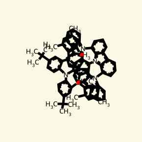 Cc1cc(C)c(B2c3cc(C(C)(C)C)ccc3N3c4ccc(C(C)(C)C)cc4B(c4c(C)cc(C)cc4C)c4cc(-n5c6c(-n7c8ccccc8c8ccccc87)cccc6c6cccc(-n7c8ccccc8c8ccccc87)c65)cc2c43)c(C)c1